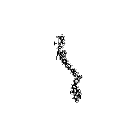 Cc1cccc(C(=O)NC2CC(n3cnc4c(Nc5ccc(N6CCN(C7CC8(CCN(C(=O)C9CCN(c%10ccc%11c(c%10)C(=O)N([C@H]%10CCC(=O)NC%10=O)C%11=O)CC9)CC8)C7)CC6)cc5)ncnc43)C2)n1